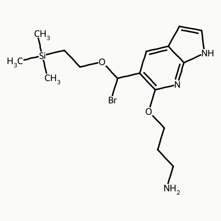 C[Si](C)(C)CCOC(Br)c1cc2cc[nH]c2nc1OCCCN